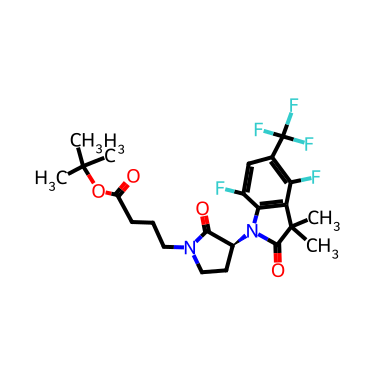 CC(C)(C)OC(=O)CCCN1CC[C@H](N2C(=O)C(C)(C)c3c(F)c(C(F)(F)F)cc(F)c32)C1=O